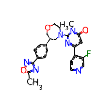 Cc1nc(-c2ccc(C3COCCN(c4nc(-c5ccncc5F)cc(=O)n4C)C3)cc2)no1